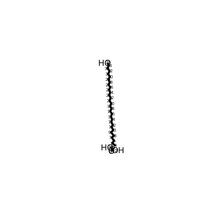 O=P(O)(O)CCCCCCCCCCCCCCCCCCCCCCCCCCCCCCCO